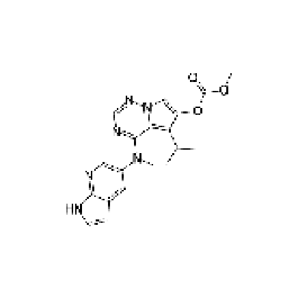 COC(=O)Oc1cn2ncnc(N(C)c3cnc4[nH]ccc4c3)c2c1C(C)C